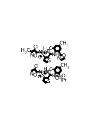 Cc1cc(C)c(NC(=O)c2sccc2S(=O)(=O)Nc2onc(C)c2Cl)c(-c2ncco2)c1.Cc1cc(C)c(NC(=O)c2sccc2S(=O)(=O)Nc2oncc2Cl)c(S(=O)(=O)C(C)C)c1